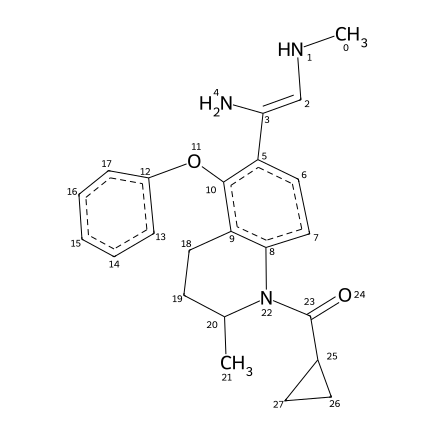 CN/C=C(\N)c1ccc2c(c1Oc1ccccc1)CCC(C)N2C(=O)C1CC1